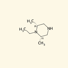 CCN1[C@H](C)CNC[C@@H]1C